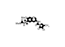 CCC1=C(C)CN(C(=O)NC2COc3cc(OC)c(S(=O)(=O)NC(=O)NC)cc3C2)C1=O